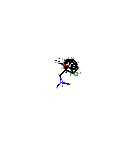 CN(C)C[C]12[CH]3[CH]4[CH]5[C]1([Pd])[Fe]45321678[CH]2[CH]1[CH]6[CH]7[CH]28.Cl